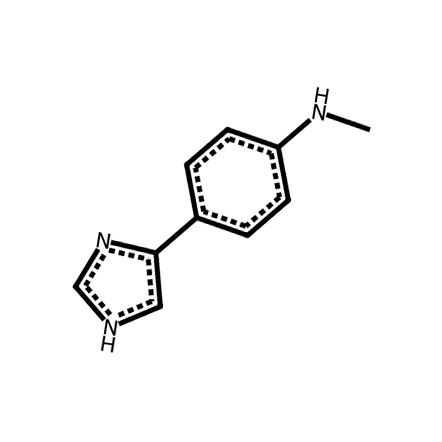 CNc1ccc(-c2c[nH]cn2)cc1